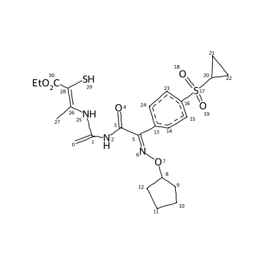 C=C(NC(=O)/C(=N/OC1CCCC1)c1ccc(S(=O)(=O)C2CC2)cc1)N/C(C)=C(\S)C(=O)OCC